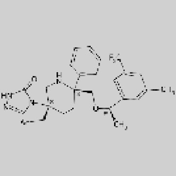 CC(=O)C[C@]1(n2cn[nH]c2=O)CC[C@@](CO[C@H](C)c2cc(C)cc(C(F)(F)F)c2)(c2ccccc2)NC1